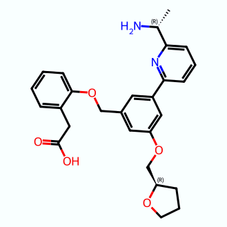 C[C@@H](N)c1cccc(-c2cc(COc3ccccc3CC(=O)O)cc(OC[C@H]3CCCO3)c2)n1